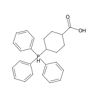 O=C(O)C1CCC([PH](c2ccccc2)(c2ccccc2)c2ccccc2)CC1